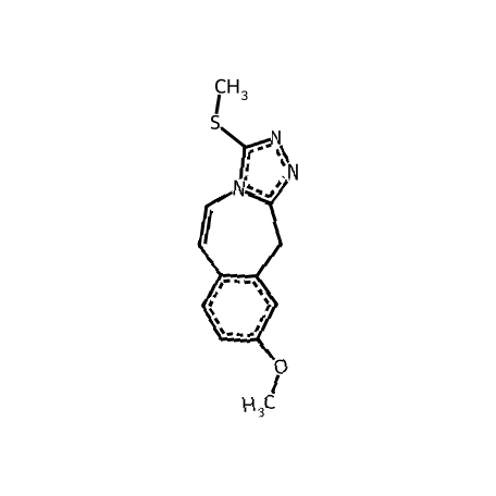 COc1ccc2c(c1)Cc1nnc(SC)n1C=C2